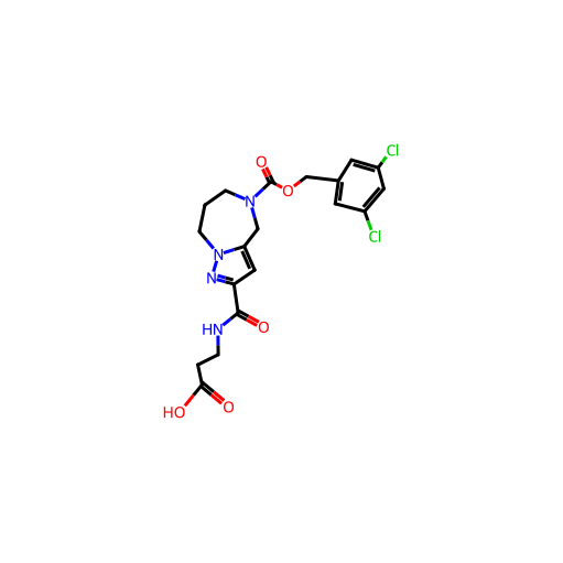 O=C(O)CCNC(=O)c1cc2n(n1)CCCN(C(=O)OCc1cc(Cl)cc(Cl)c1)C2